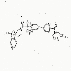 CCN(CC)C(=O)c1ccc(-c2ccc(C(C)(C)C(=O)N3CC[C@@]4(C3)OC(=O)c3cnccc34)c(F)c2)cn1